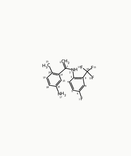 C=C(Nc1ccc(F)cc1C(F)(F)F)c1cc(N)ccc1C